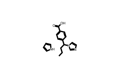 CCCC(c1ccc(C(=O)O)cc1)n1ccnc1.c1cc[nH]c1